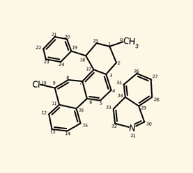 CC1Cc2ccc3c(cc(Cl)c4ccccc43)c2C(c2ccccc2)C1.c1ccc2cnccc2c1